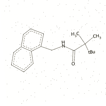 CC(C)(C)C(C)(C)C(=O)NCc1cccc2ccccc12